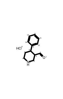 Cl.O=CC1CNCCC1c1ccccc1